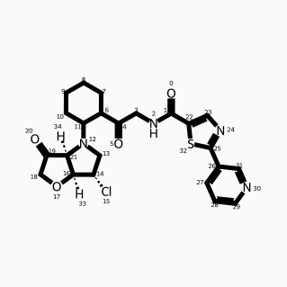 O=C(NCC(=O)C1CCCCC1N1C[C@H](Cl)[C@H]2OCC(=O)[C@H]21)c1cnc(-c2cccnc2)s1